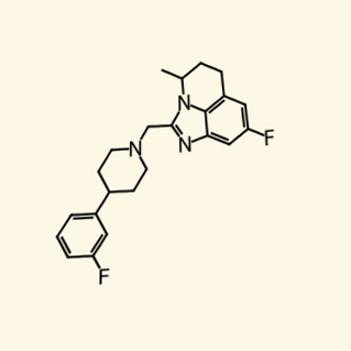 CC1CCc2cc(F)cc3nc(CN4CCC(c5cccc(F)c5)CC4)n1c23